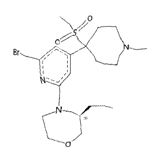 CC[C@H]1COCCN1c1cc(C2(S(C)(=O)=O)CCN(C)CC2)cc(Br)n1